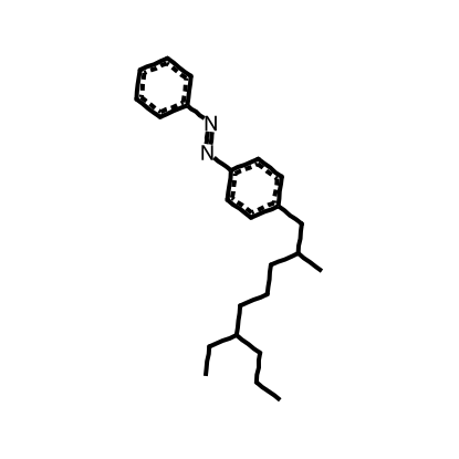 CCCC(CC)CCCC(C)Cc1ccc(/N=N/c2ccccc2)cc1